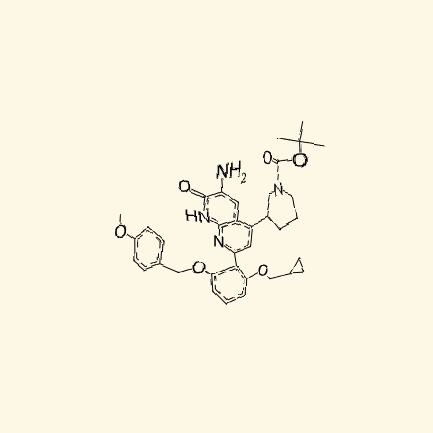 COc1ccc(COc2cccc(OCC3CC3)c2-c2cc(C3CCCN(C(=O)OC(C)(C)C)C3)c3cc(N)c(=O)[nH]c3n2)cc1